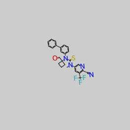 CN(C(=S)N(c1cccc(-c2ccccc2)c1)C1(C=O)CCC1)c1cnc(C#N)c(C(F)(F)F)c1